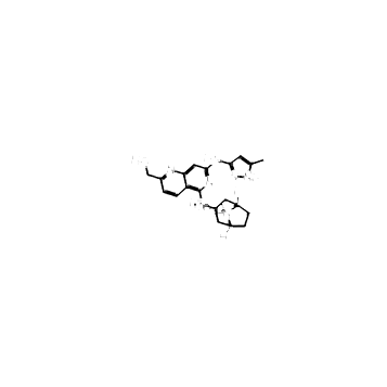 Cc1cc(Nc2cc3nc(CO)ccc3c(NC3C[C@H]4CC[C@@H](C3)N4C(=O)O)n2)n[nH]1